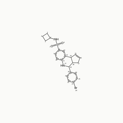 O=S(=O)(NC1CCC1)c1ccc2c(c1)C1C=CCC1C(c1ccc(Br)cc1)N2